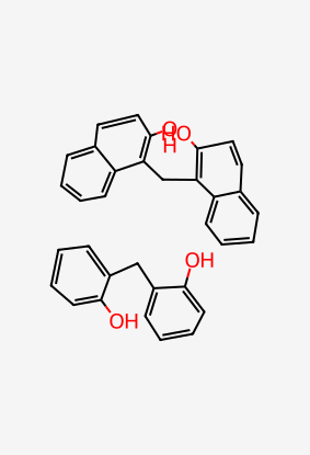 Oc1ccc2ccccc2c1Cc1c(O)ccc2ccccc12.Oc1ccccc1Cc1ccccc1O